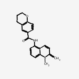 C=C1C=Cc2c(NC(=O)c3ccc4c(c3)CCCO4)cccc2N1C